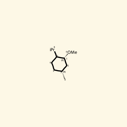 CO[C@@H]1C[C@H](C)CCC1C(C)C